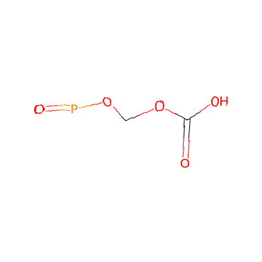 O=POCOC(=O)O